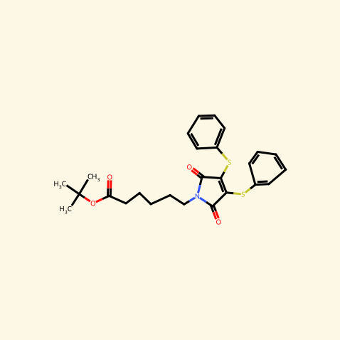 CC(C)(C)OC(=O)CCCCCN1C(=O)C(Sc2ccccc2)=C(Sc2ccccc2)C1=O